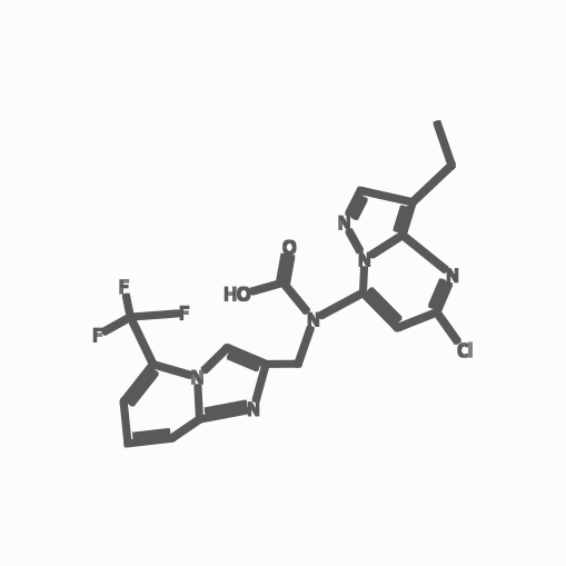 CCc1cnn2c(N(Cc3cn4c(C(F)(F)F)cccc4n3)C(=O)O)cc(Cl)nc12